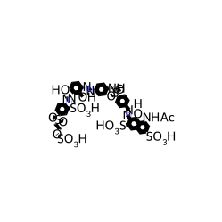 CC(=O)Nc1cc(S(=O)(=O)O)cc2cc(S(=O)(=O)O)c(/N=N/c3ccc(S(=O)(=O)Nc4ccc(/N=N/c5ccc(O)c(/N=N/c6ccc(S(=O)(=O)CCOS(=O)(=O)O)cc6S(=O)(=O)O)c5O)cc4)cc3)c(O)c12